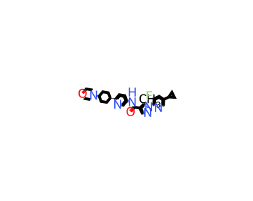 Cc1c(C(=O)Nc2ccc([C@H]3CC[C@H](N4CCOCC4)CC3)nc2)cnn1-c1ncc(C2CC2)cc1F